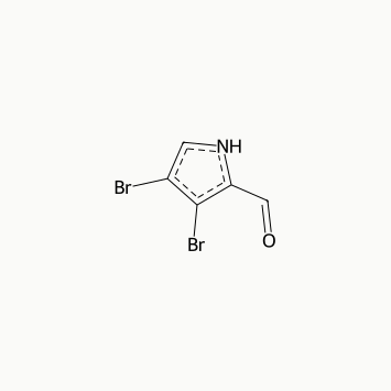 O=Cc1[nH]cc(Br)c1Br